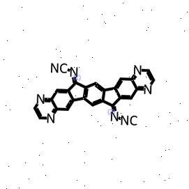 [C-]#[N+]/N=c1\c2cc3nccnc3cc2c2cc3/c(=N/C#N)c4cc5nccnc5cc4c3cc12